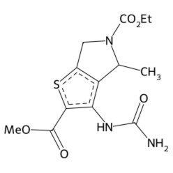 CCOC(=O)N1Cc2sc(C(=O)OC)c(NC(N)=O)c2C1C